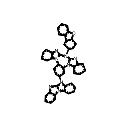 c1ccc2c(c1)nc1n(-c3ccc4c(c3)n3c5ccccc5nc3n(-c3ccc5oc6ccccc6c5c3)c3nc5ccccc5n43)c3ccccc3n21